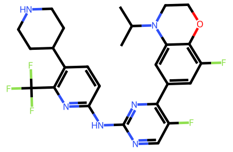 CC(C)N1CCOc2c(F)cc(-c3nc(Nc4ccc(C5CCNCC5)c(C(F)(F)F)n4)ncc3F)cc21